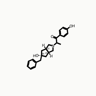 CC(C(=O)c1ccc(O)cc1)N1C[C@@H]2C[C@@](O)(Cc3ccccc3)C[C@@H]2C1